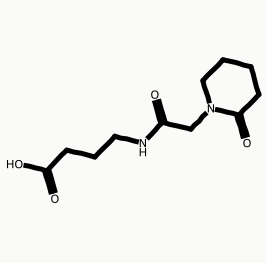 O=C(O)CCCNC(=O)CN1CCCCC1=O